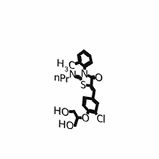 CCC/N=C1\S/C(=C\c2ccc(OC(CO)CO)c(Cl)c2)C(=O)N1c1ccccc1C